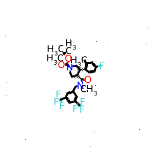 Cc1cc(F)ccc1[C@@H]1CN(C(=O)OC(C)(C)C)CC[C@@H]1C(=O)N(C)Cc1cc(C(F)(F)F)cc(C(F)(F)F)c1